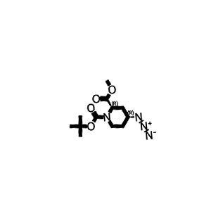 COC(=O)[C@H]1C[C@H](N=[N+]=[N-])CCN1C(=O)OC(C)(C)C